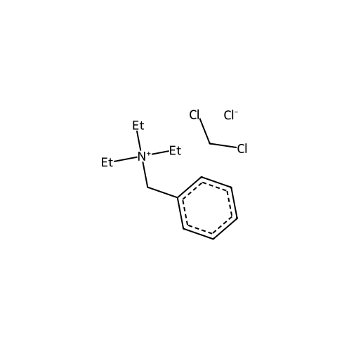 CC[N+](CC)(CC)Cc1ccccc1.ClCCl.[Cl-]